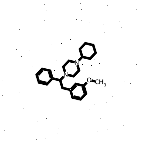 COc1cccc(CC(c2ccccc2)N2CCN(C3CCCCC3)CC2)c1